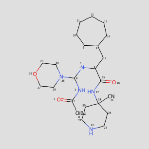 CC(C)COC(=O)NC([N]C(CC1CCCCCC1)C(=O)NC1(C#N)CCNCC1)N1CCOCC1